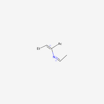 C/C=N\C(=C/CC)C(C)=O